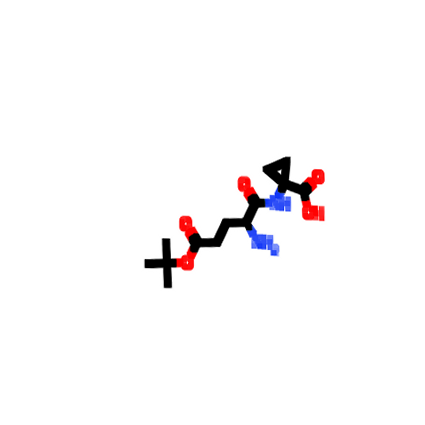 CC(C)(C)OC(=O)CC[C@H](N)C(=O)NC1(C(=O)O)CC1